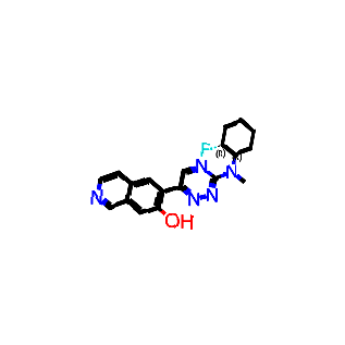 CN(c1ncc(-c2cc3ccncc3cc2O)nn1)[C@@H]1CCCC[C@H]1F